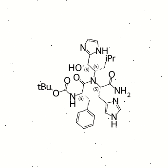 CC(C)C[C@@H]([C@H](O)c1ncc[nH]1)N(C(=O)[C@H](Cc1ccccc1)NC(=O)OC(C)(C)C)[C@@H](Cc1c[nH]cn1)C(N)=O